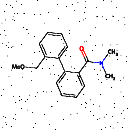 COCc1ccccc1-c1ccccc1C(=O)N(C)C